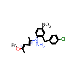 C/C(=C\C=C(/C)N(N)c1ccc([N+](=O)[O-])cc1Cc1ccc(Cl)cc1)OC(C)C